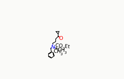 CCOC(=O)C(C)(C)N(CCCC(=O)C1CC1)Cc1ccccc1